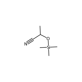 CC(C#N)O[Si](C)(C)C